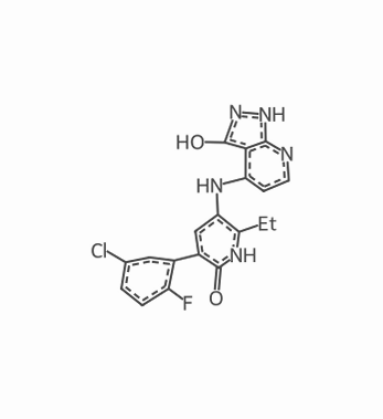 CCc1[nH]c(=O)c(-c2cc(Cl)ccc2F)cc1Nc1ccnc2[nH]nc(O)c12